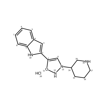 C1=C(c2cc3ccccc3[nH]2)ONN1C1CCCNC1.Cl